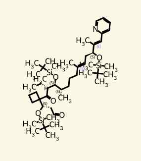 CC[C@@H](C(=O)C1([C@H](CC=O)O[Si](C)(C)C(C)(C)C)CCC1)[C@@H](O[Si](C)(C)C(C)(C)C)[C@@H](C)CCC/C(C)=C/C[C@H](O[Si](C)(C)C(C)(C)C)/C(C)=C/c1ccccn1